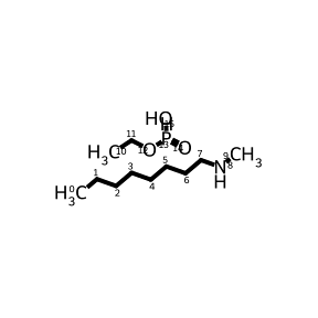 CCCCCCCCNC.CCO[PH](=O)O